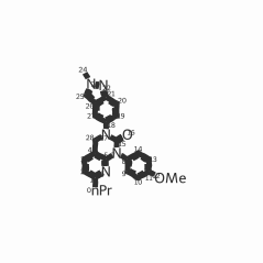 CCCc1ccc2c(n1)N(c1ccc(OC)cc1)C(=O)N(c1ccc3nn(C)cc3c1)C2